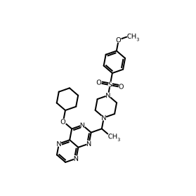 COc1ccc(S(=O)(=O)N2CCN(C(C)c3nc(OC4CCCCC4)c4nccnc4n3)CC2)cc1